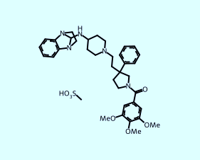 COc1cc(C(=O)N2CCC(CCN3CCC(NC4N5CCN4c4ccccc45)CC3)(c3ccccc3)C2)cc(OC)c1OC.CS(=O)(=O)O